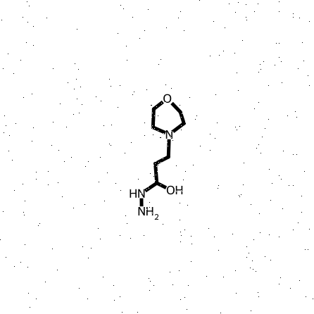 NNC(O)CCN1CCOCC1